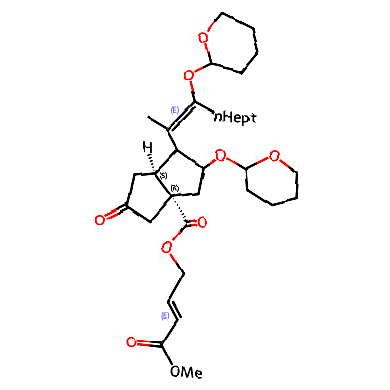 CCCCCCC/C(OC1CCCCO1)=C(/C)C1C(OC2CCCCO2)C[C@@]2(C(=O)OC/C=C/C(=O)OC)CC(=O)C[C@@H]12